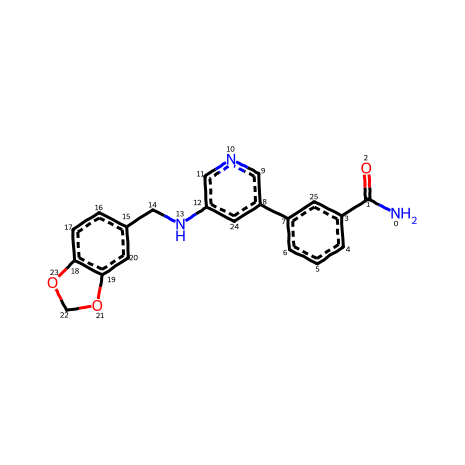 NC(=O)c1cccc(-c2cncc(NCc3ccc4c(c3)OCO4)c2)c1